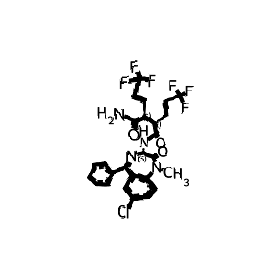 CN1C(=O)[C@@H](NC(=O)[C@H](CCC(F)(F)F)[C@H](CCC(F)(F)F)C(N)=O)N=C(c2ccccc2)c2cc(Cl)ccc21